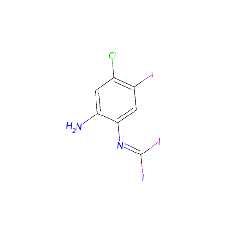 Nc1cc(Cl)c(I)cc1N=C(I)I